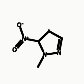 CN1N=C[C]C1[N+](=O)[O-]